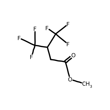 COC(=O)CC(C(F)(F)F)C(F)(F)F